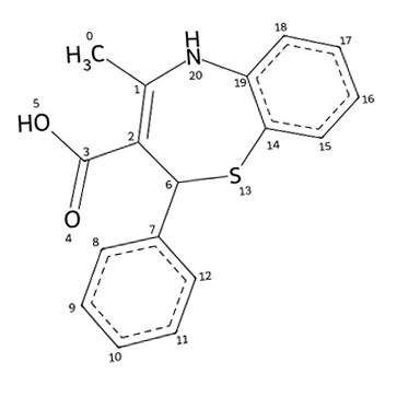 CC1=C(C(=O)O)C(c2ccccc2)Sc2ccccc2N1